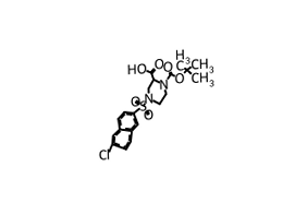 CC(C)(C)OC(=O)N1CCN(S(=O)(=O)c2ccc3cc(Cl)ccc3c2)CC1C(=O)O